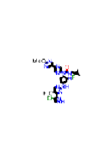 COc1ncc(-c2cnc(N(C(=O)NCC3(F)CC3)[C@H]3CC[C@H](Nc4ncc(C(F)(F)F)c(-c5n[nH]cc5Cl)n4)CC3)cn2)cn1